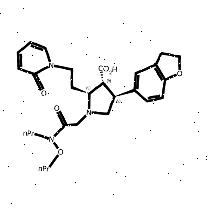 CCCON(CCC)C(=O)CN1C[C@H](c2ccc3c(c2)CCO3)[C@@H](C(=O)O)[C@@H]1CCn1ccccc1=O